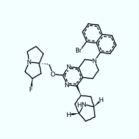 F[C@H]1CN2CCC[C@@]2(COc2nc3c(c([C@@H]4C[C@H]5CC[C@@H](C4)N5)n2)CCN(c2cccc4cccc(Br)c24)C3)C1